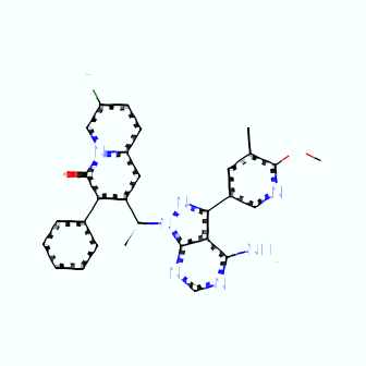 COc1ncc(-c2nn([C@@H](C)c3cc4ccc(F)cn4c(=O)c3-c3ccccc3)c3ncnc(N)c23)cc1C